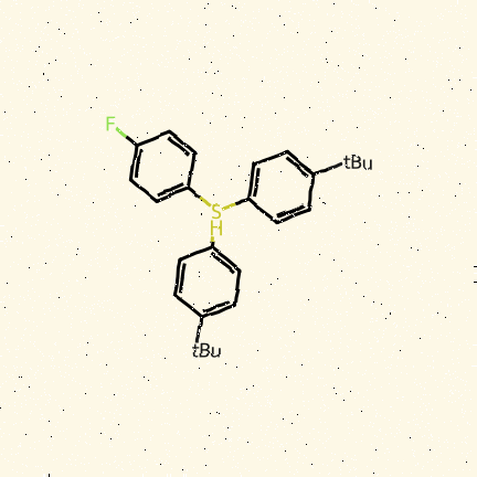 CC(C)(C)c1ccc([SH](c2ccc(F)cc2)c2ccc(C(C)(C)C)cc2)cc1